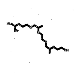 CCCCC(CCC)OCCOCC(C)OCCOCC(C)OCCO